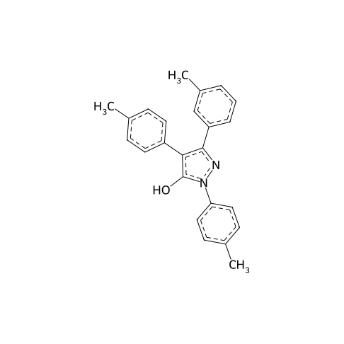 Cc1ccc(-c2c(-c3cccc(C)c3)nn(-c3ccc(C)cc3)c2O)cc1